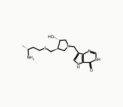 C[C@@H](N)CCSC[C@@H]1CN(Cc2c[nH]c3c(=O)[nH]cnc23)C[C@H]1O